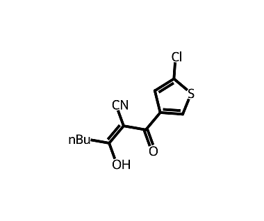 CCCC/C(O)=C(\C#N)C(=O)c1csc(Cl)c1